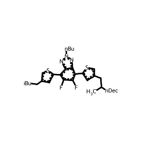 CCCCCCCCCCC(C)Cc1csc(-c2c(F)c(F)c(-c3cc(CC(C)CC)cs3)c3nn(CCCC)nc23)c1